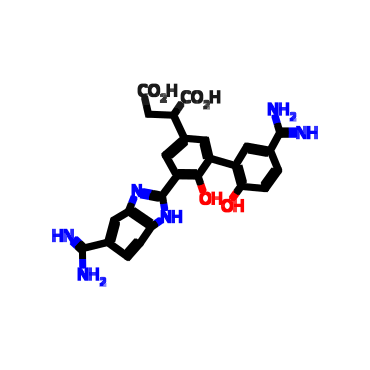 N=C(N)c1ccc(O)c(-c2cc(C(CC(=O)O)C(=O)O)cc(-c3nc4cc(C(=N)N)ccc4[nH]3)c2O)c1